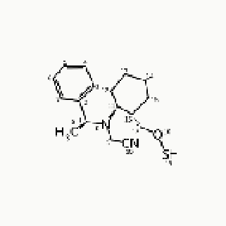 C[C@@H](c1ccccc1)N(CC#N)[C@H]1CCCC[C@@H]1COS